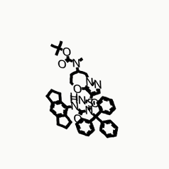 CN(C(=O)OC(C)(C)C)C1CCOc2c(S(=N)(=O)N(C(=O)Nc3c4c(cc5c3CCC5)CCC4)C(c3ccccc3)(c3ccccc3)c3ccccc3)cnn2C1